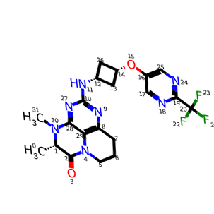 C[C@H]1C(=O)N2CCCc3nc(N[C@H]4C[C@@H](Oc5cnc(C(F)(F)F)nc5)C4)nc(c32)N1C